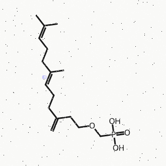 C=C(CC/C=C(\C)CCC=C(C)C)CCOCP(=O)(O)O